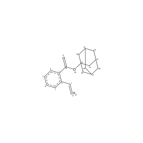 C=Cc1ccccc1C(=O)OC12CC3CC(CC(C3)C1)C2